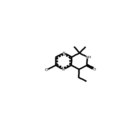 CCC1C(=O)NC(C)(C)c2ncc(Cl)nc21